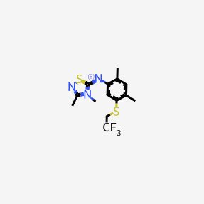 Cc1cc(C)c(SCC(F)(F)F)cc1/N=c1/snc(C)n1C